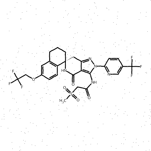 CS(=O)(=O)CC(=O)Nc1c2c(nn1-c1ccc(C(F)(F)F)cn1)C[C@]1(CCCc3cc(OCC(F)(F)F)ccc31)NC2=O